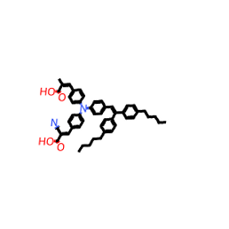 CCCCCc1ccc(C(=Cc2ccc(N(c3ccc(/C=C(/C)C(=O)O)cc3)c3ccc(/C=C(\C#N)C(=O)O)cc3)cc2)c2ccc(CCCCC)cc2)cc1